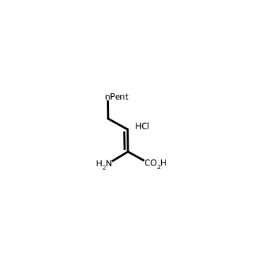 CCCCCC/C=C(\N)C(=O)O.Cl